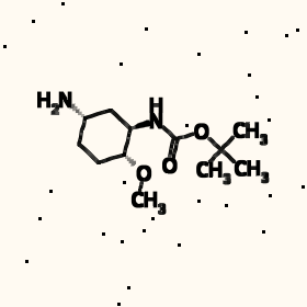 CO[C@@H]1CC[C@H](N)C[C@H]1NC(=O)OC(C)(C)C